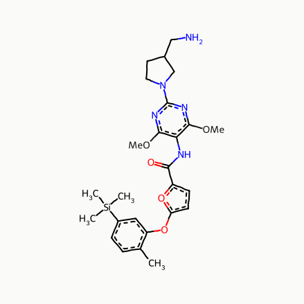 COc1nc(N2CCC(CN)C2)nc(OC)c1NC(=O)c1ccc(Oc2cc([Si](C)(C)C)ccc2C)o1